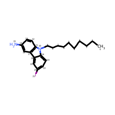 CCCCCCCCCCn1c2ccc(N)cc2c2cc(I)ccc21